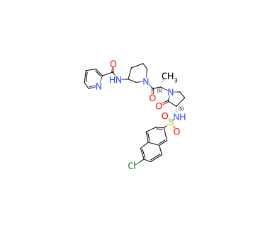 C[C@@H](C(=O)N1CCCC(NC(=O)c2ccccn2)C1)N1CC[C@H](NS(=O)(=O)c2ccc3cc(Cl)ccc3c2)C1=O